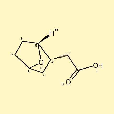 O=C(O)C[C@@H]1CC2CC[C@H]1O2